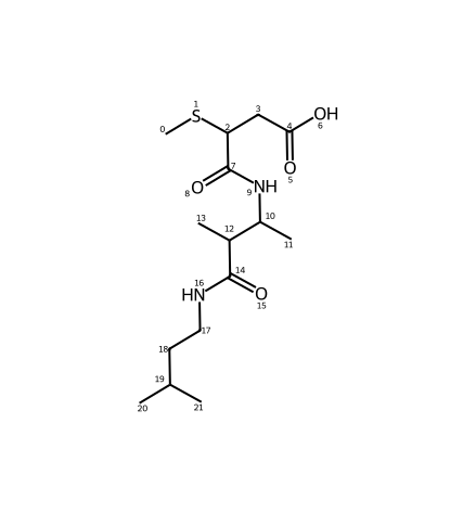 CSC(CC(=O)O)C(=O)NC(C)C(C)C(=O)NCCC(C)C